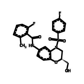 Cc1cccc(F)c1C(=O)Nc1ccc2c(c1)N(S(=O)(=O)c1ccc(F)cc1)C[C@H](CO)O2